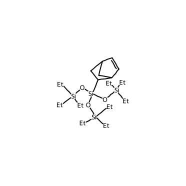 CC[Si](CC)(CC)O[Si](O[Si](CC)(CC)CC)(O[Si](CC)(CC)CC)C1CC2C=CC1C2